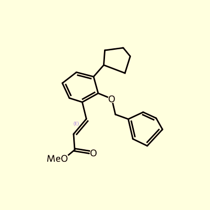 COC(=O)/C=C/c1cccc(C2CCCC2)c1OCc1ccccc1